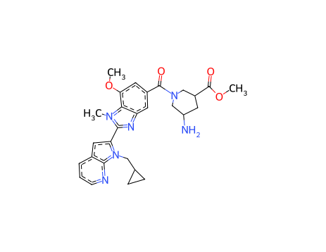 COC(=O)C1CC(N)CN(C(=O)c2cc(OC)c3c(c2)nc(-c2cc4cccnc4n2CC2CC2)n3C)C1